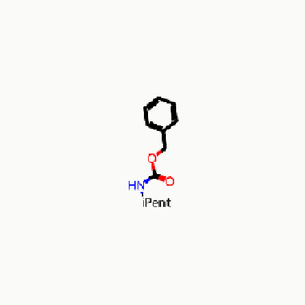 [CH2]CC[C@@H]([CH2])NC(=O)OCc1ccccc1